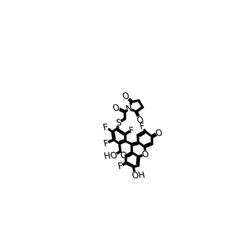 O=C(O)c1c(F)c(F)c(SCC(=O)N2C(=O)CCC2=O)c(F)c1-c1c2cc(F)c(=O)cc-2oc2cc(O)c(F)cc12